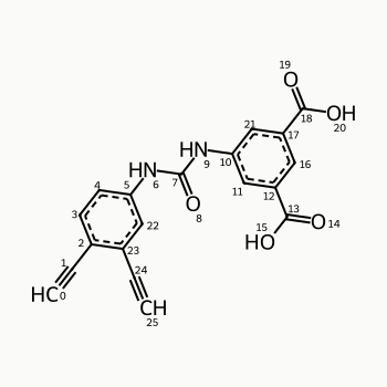 C#Cc1ccc(NC(=O)Nc2cc(C(=O)O)cc(C(=O)O)c2)cc1C#C